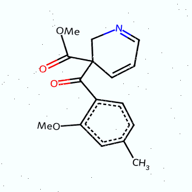 COC(=O)C1(C(=O)c2ccc(C)cc2OC)C=CC=NC1